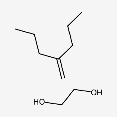 C=C(CCC)CCC.OCCO